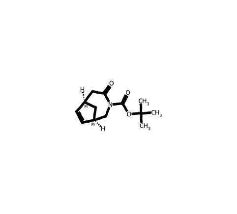 CC(C)(C)OC(=O)N1C[C@H]2C=C[C@@H](CC1=O)C2